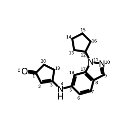 O=C1C=C(Nc2ccc3cnn(C4CCCC4)c3c2)CC1